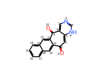 O=c1cc2[nH]cncc-2c(=O)c2cc3ccccc3cc12